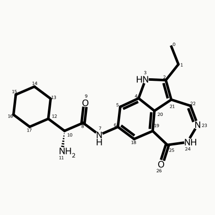 CCc1[nH]c2cc(NC(=O)[C@H](N)C3CCCCC3)cc3c2c1C=NNC3=O